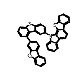 c1ccc2c(c1)oc1cc(-c3cccc4sc5ccc(-n6c7ccccc7c7ccc8c9ccccc9sc8c76)cc5c34)ccc12